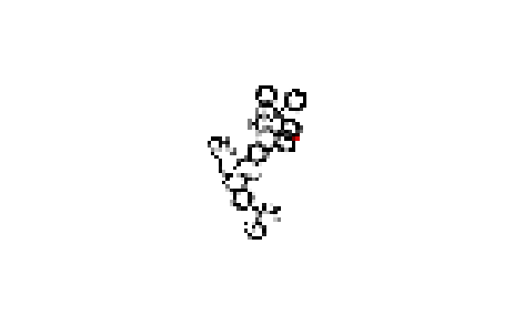 CCCCc1nc2ccc(C(OC)C3CCCO3)cc2c(=O)n1Cc1ccc(-c2ccccc2-c2nnnn2C(c2ccccc2)(c2ccccc2)c2ccccc2)cc1